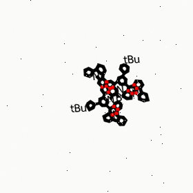 CC(C)(C)c1ccc(-c2cc(-c3ccccc3)c(N3c4cc(-n5c6ccccc6c6ccccc65)ccc4B4c5ccc(-n6c7ccccc7c7ccccc76)cc5N(c5c(-c6ccccc6)cc(-c6ccc(C(C)(C)C)cc6)cc5-c5ccccc5)c5cc(-c6ccc7c(c6)c6cccc8c9ccccc9n7c86)cc3c54)c(-c3ccccc3)c2)cc1